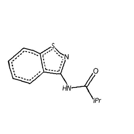 CC(C)C(=O)Nc1nsc2ccccc12